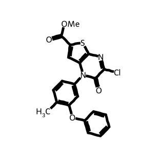 COC(=O)c1cc2c(nc(Cl)c(=O)n2-c2ccc(C)c(Oc3ccccc3)c2)s1